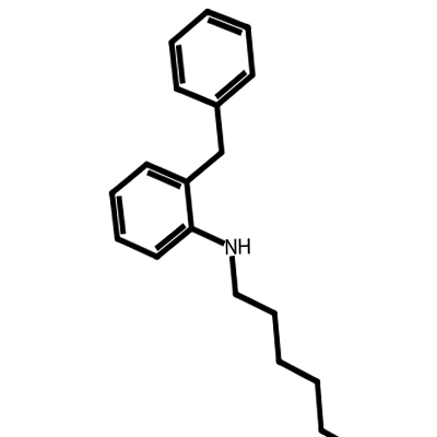 CCCCCCNc1ccccc1Cc1ccccc1